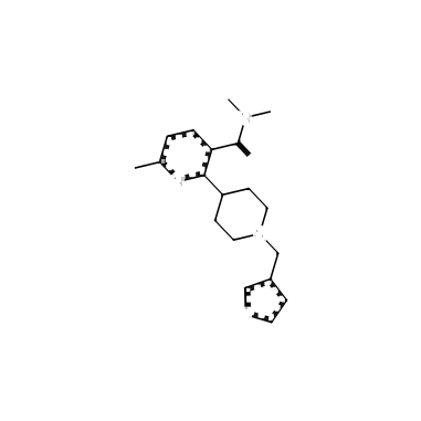 Cc1ccc(C(=O)N(C)C)c(C2CCN(Cc3ccsc3)CC2)n1